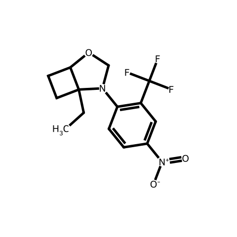 CCC12CCC1OCN2c1ccc([N+](=O)[O-])cc1C(F)(F)F